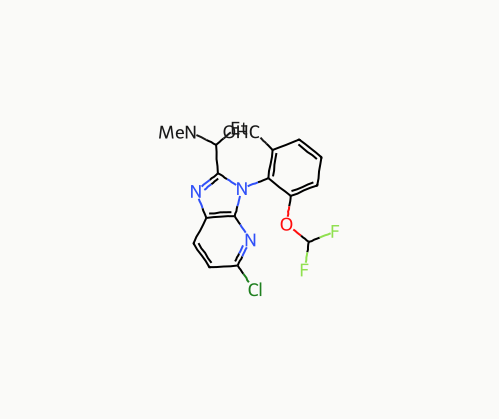 CCC(NC)c1nc2ccc(Cl)nc2n1-c1c(C=O)cccc1OC(F)F